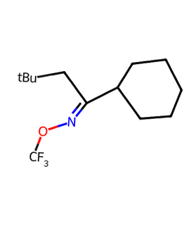 CC(C)(C)CC(=NOC(F)(F)F)C1CCCCC1